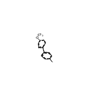 Cc1ccc(-c2ccc(OC(F)(F)F)cc2)cc1